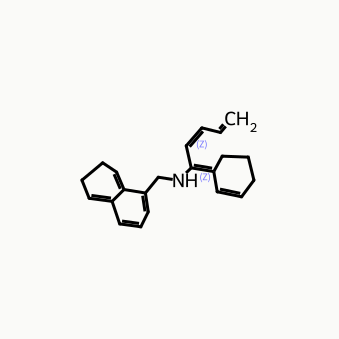 C=C/C=C\C(NCc1cccc2c1=CCCC=2)=C1\C=CCCC1